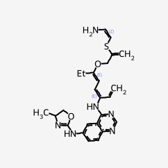 C=C/C(=C\C=C(/CC)OCC(=C)S/C=C\N)Nc1ncnc2ccc(NC3=NC(C)CO3)cc12